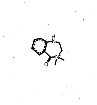 C[N+]1(C)CCNc2ccccc2C1=O